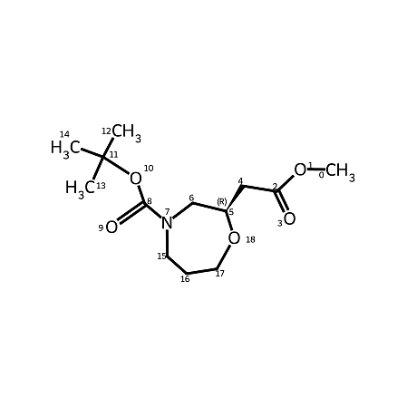 COC(=O)C[C@@H]1CN(C(=O)OC(C)(C)C)CCCO1